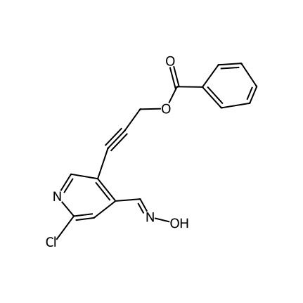 O=C(OCC#Cc1cnc(Cl)cc1/C=N/O)c1ccccc1